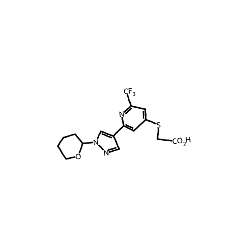 O=C(O)CSc1cc(-c2cnn(C3CCCCO3)c2)nc(C(F)(F)F)c1